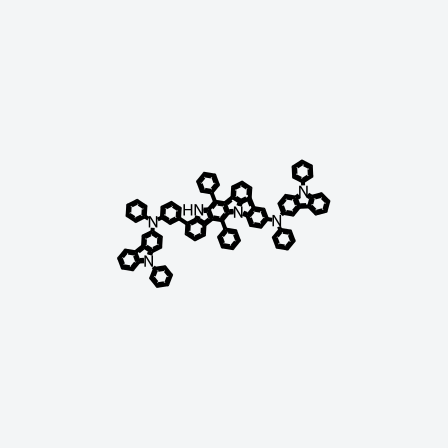 c1ccc(-c2c3[nH]c4c(-c5cccc(N(c6ccccc6)c6ccc7c(c6)c6ccccc6n7-c6ccccc6)c5)cccc4c3c(-c3ccccc3)c3c2c2cccc4c5cc(N(c6ccccc6)c6ccc7c(c6)c6ccccc6n7-c6ccccc6)ccc5n3c42)cc1